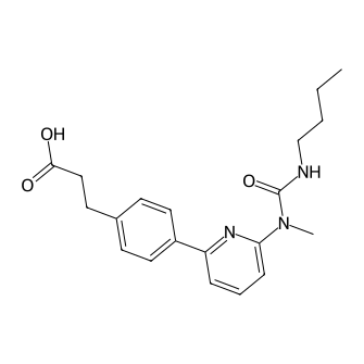 CCCCNC(=O)N(C)c1cccc(-c2ccc(CCC(=O)O)cc2)n1